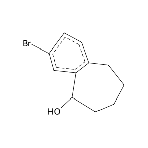 OC1CCCCc2ccc(Br)cc21